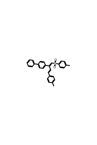 Cc1ccc(C=C/C(=C\S(=O)(=O)c2ccc(C)cc2)c2ccc(-c3ccccc3)cc2)cc1